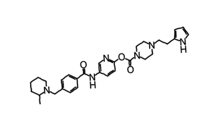 CC1CCCCN1Cc1ccc(C(=O)Nc2ccc(OC(=O)N3CCN(CCc4ccc[nH]4)CC3)nc2)cc1